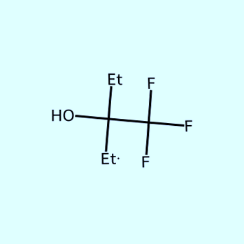 C[CH]C(O)(CC)C(F)(F)F